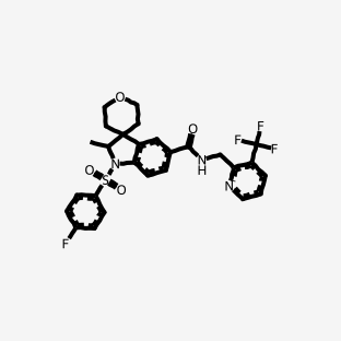 CC1N(S(=O)(=O)c2ccc(F)cc2)c2ccc(C(=O)NCc3ncccc3C(F)(F)F)cc2C12CCOCC2